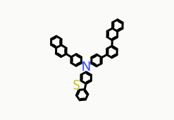 c1cc(-c2ccc(N(c3ccc(-c4ccc5ccccc5c4)cc3)c3ccc4c(c3)sc3ccccc34)cc2)cc(-c2ccc3ccccc3c2)c1